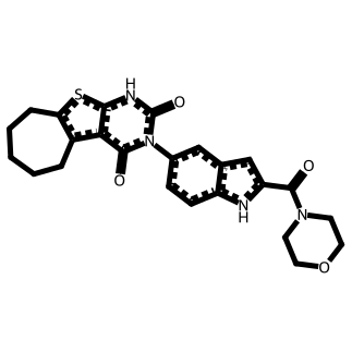 O=C(c1cc2cc(-n3c(=O)[nH]c4sc5c(c4c3=O)CCCCC5)ccc2[nH]1)N1CCOCC1